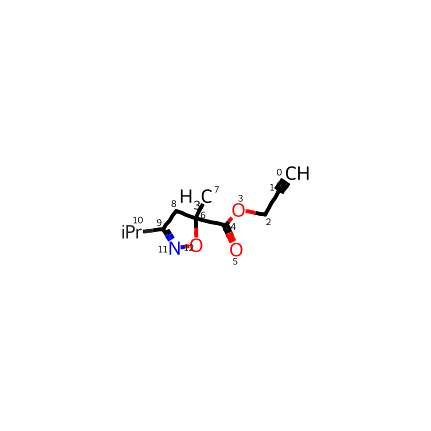 C#CCOC(=O)C1(C)CC(C(C)C)=NO1